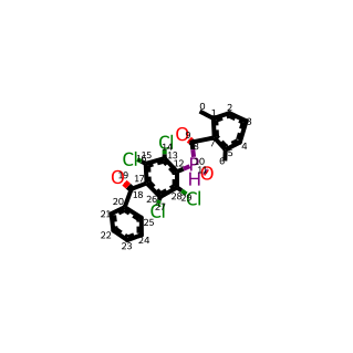 Cc1cccc(C)c1C(=O)[PH](=O)c1c(Cl)c(Cl)c(C(=O)c2ccccc2)c(Cl)c1Cl